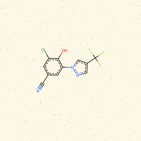 N#Cc1cc(Cl)c(O)c(-n2cc(C(F)(F)F)cn2)c1